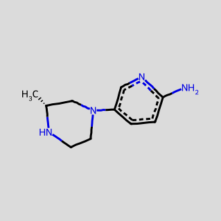 C[C@@H]1CN(c2ccc(N)nc2)CCN1